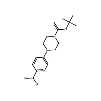 CC(C)(C)OC(=O)N1CCN(c2ccc(C(F)F)nc2)CC1